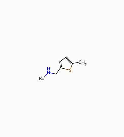 Cc1ccc(CNC(C)(C)C)s1